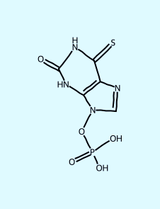 O=c1[nH]c(=S)c2ncn(OP(=O)(O)O)c2[nH]1